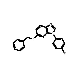 Fc1ccc(-n2cnc3ccc(OCc4ccccc4)nc32)cc1